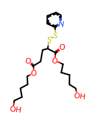 O=C(CCC(SSc1ccccn1)C(=O)OCCCCCO)OCCCCCO